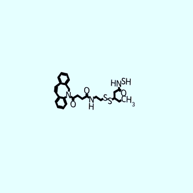 CCC(CC(=O)NS)SSCCNC(=O)CCC(=O)N1Cc2ccccc2C#Cc2ccccc21